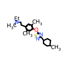 CCN(C)CCc1cc(C)c(Oc2nc(C3CCC(C)CC3)ns2)cc1C